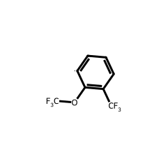 FC(F)(F)Oc1[c]cccc1C(F)(F)F